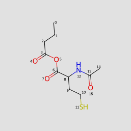 CCCC(=O)OC(=O)C(CCS)NC(C)=O